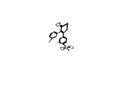 CS(=O)(=O)c1ccc(C2=C(c3cccc(F)c3)C(=O)CC2)cc1